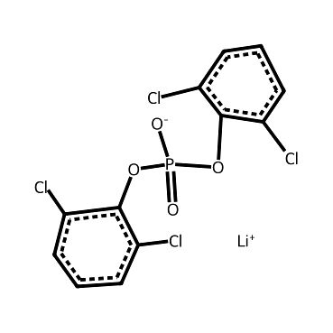 O=P([O-])(Oc1c(Cl)cccc1Cl)Oc1c(Cl)cccc1Cl.[Li+]